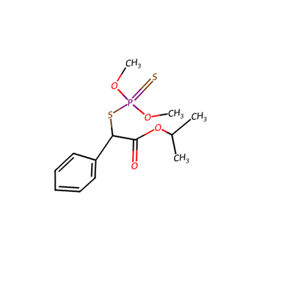 COP(=S)(OC)SC(C(=O)OC(C)C)c1ccccc1